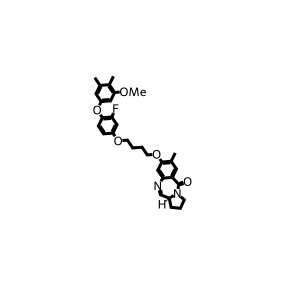 COc1cc(Oc2ccc(OCCCCOc3cc4c(cc3C)C(=O)N3CCC[C@H]3C=N4)cc2F)cc(C)c1C